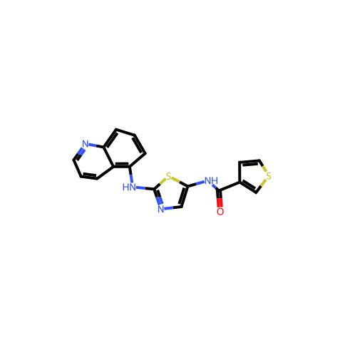 O=C(Nc1cnc(Nc2cccc3ncccc23)s1)c1ccsc1